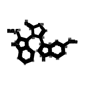 CCOC(=O)c1[nH]c2ccccc2c1N1C(=O)[N]C=C1c1c[nH]c2ccc(OC)cc12